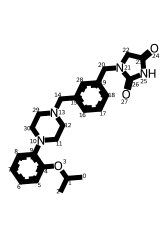 CC(C)Oc1ccccc1N1CCN(Cc2cccc(CN3CC(=O)NC3=O)c2)CC1